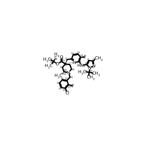 Cc1cc(Nc2nc(C[C@@]3(C(=O)OC(C)(C)C)CCN(Cc4cccc(Cl)c4F)[C@H](C)C3)ccc2F)n(C(C)(C)C)n1